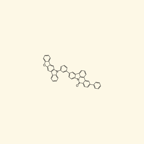 O=c1c2ccc(-c3ccccc3)cc2c2cccc3c4cc(-c5cccc(-n6c7ccccc7c7cc8oc9ccccc9c8cc76)c5)ccc4n1c23